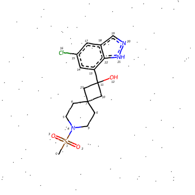 CS(=O)(=O)N1CCC2(CC1)CC(O)(c1cc(Cl)cc3cn[nH]c13)C2